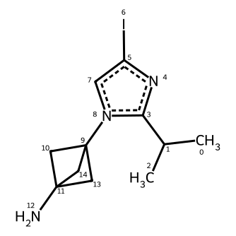 CC(C)c1nc(I)cn1C12CC(N)(C1)C2